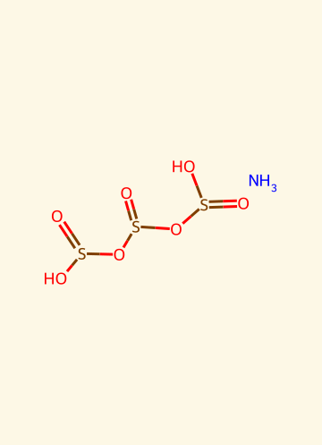 N.O=S(O)OS(=O)OS(=O)O